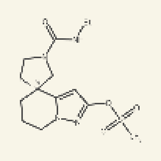 CCNC(=O)N1CC[C@]2(CCCn3nc(OS(=O)(=O)C(F)(F)F)cc32)C1